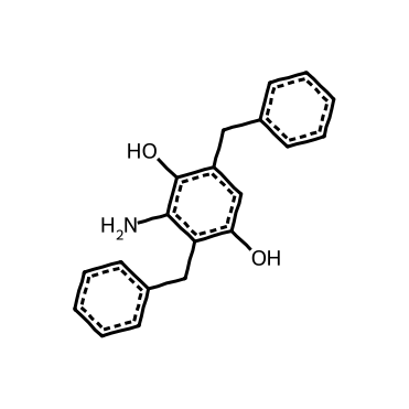 Nc1c(O)c(Cc2ccccc2)cc(O)c1Cc1ccccc1